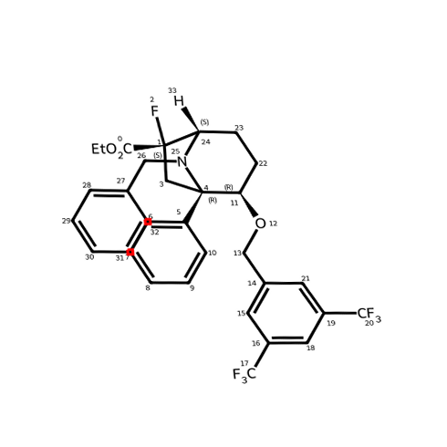 CCOC(=O)[C@]1(F)C[C@@]2(c3ccccc3)[C@H](OCc3cc(C(F)(F)F)cc(C(F)(F)F)c3)CC[C@@H]1N2Cc1ccccc1